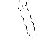 C=C(C)C(=O)OCCCCCCCCCCCC.C=CC(=O)OCCCCCCCCCCCCCC